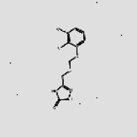 O=c1[nH]nc(CSCOc2cccc(Cl)c2Cl)[nH]1